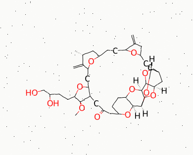 C=C1CC2CCC3C[C@H]4OC5[C@H]6OC7CCC(CC(=O)CC8C(CC9OC(CCC1O2)C[C@@H](C)C9=C)OC(CCC(O)CO)[C@@H]8OC)O[C@@H]7[C@@H]5O[C@@H]3OC64